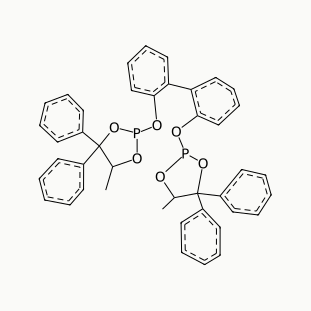 CC1OP(Oc2ccccc2-c2ccccc2OP2OC(C)C(c3ccccc3)(c3ccccc3)O2)OC1(c1ccccc1)c1ccccc1